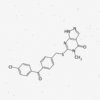 Cn1c(SCc2ccc(C(=O)c3ccc(Cl)cc3)cc2)nc2[nH]ncc2c1=O